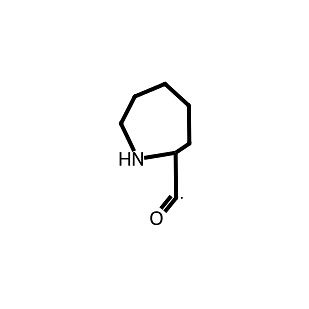 O=[C]C1CCCCCN1